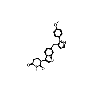 COc1ccc(-n2nccc2Cc2ccc3c(C4CCC(=O)NC4=O)coc3c2)cc1